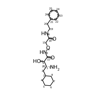 N[C@H](CC1CCCCC1)C(O)C(=O)NOCC(=O)NCCc1ccccc1